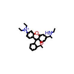 CCNC(C)c1ccc2c(-c3ccccc3C(C)=O)c3ccc(=[N+](CC)CC)cc-3oc2c1